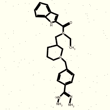 CCN(CC1CCCN(Cc2ccc(/C(=N/N)NN)cc2)C1)C(=O)c1cc2ccccc2[nH]1